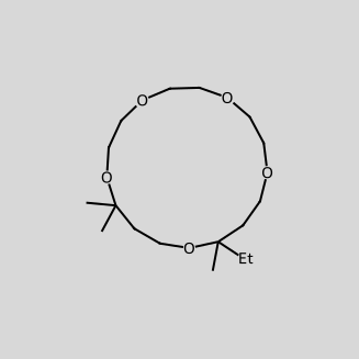 CCC1(C)CCOCCOCCOCCOC(C)(C)CCO1